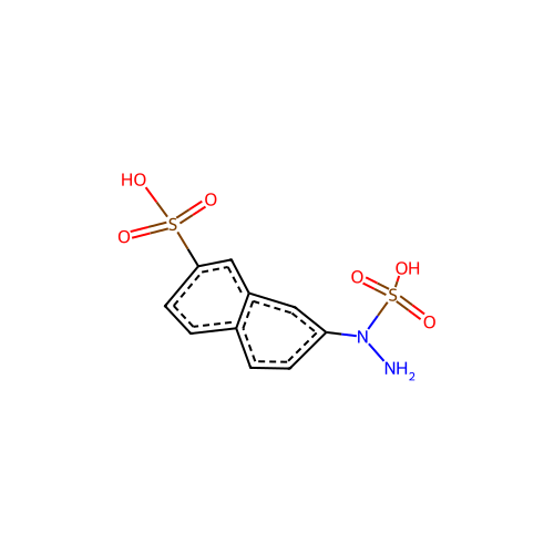 NN(c1ccc2ccc(S(=O)(=O)O)cc2c1)S(=O)(=O)O